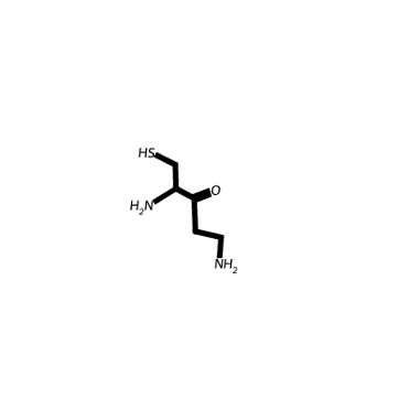 NCCC(=O)C(N)CS